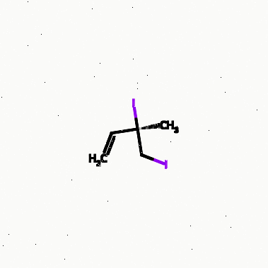 C=C[C@@](C)(I)CI